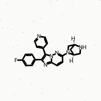 Fc1ccc(-c2nc3ccc(N4C[C@@H]5C[C@H]4CN5)nn3c2-c2ccncc2)cc1